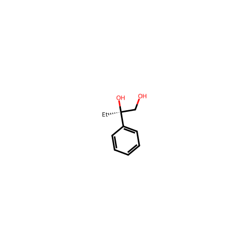 CC[C@](O)(CO)c1ccccc1